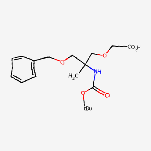 CC(COCC(=O)O)(COCc1ccccc1)NC(=O)OC(C)(C)C